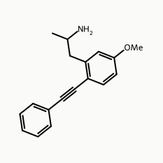 COc1ccc(C#Cc2ccccc2)c(CC(C)N)c1